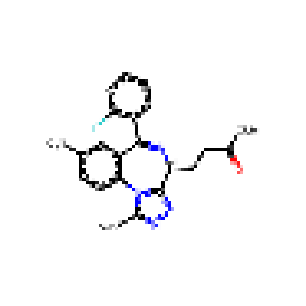 COC(=O)CC[C@@H]1N=C(c2ccccc2F)c2cc([N+](=O)[O-])ccc2-n2c(SC)nnc21